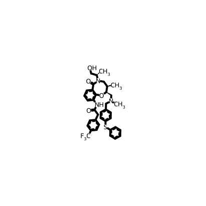 C[C@@H]1CN([C@@H](C)CO)C(=O)c2cccc(NC(=O)Cc3ccc(C(F)(F)F)cc3)c2O[C@@H]1CN(C)Cc1ccc(Sc2ccccc2)cc1